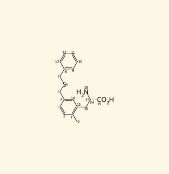 Cc1ccc(CSCc2ccccc2)cc1C[C@H](N)C(=O)O